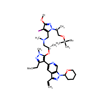 C=Cc1nn(C2CCCCO2)c2cnc(-c3c(COC)nn(C)c3O[C@@H](C)CN(C)Cc3c(I)c(OCC)nn3[C@@H](C)CO[Si](C)(C)C(C)(C)C)cc12